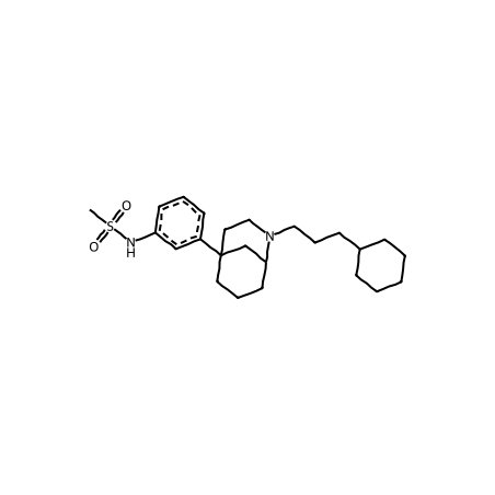 CS(=O)(=O)Nc1cccc(C23CCCC(C2)N(CCCC2CCCCC2)CC3)c1